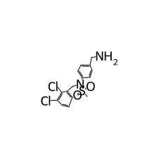 CS(=O)(=O)N(Cc1cccc(Cl)c1Cl)c1ccc(CN)cc1